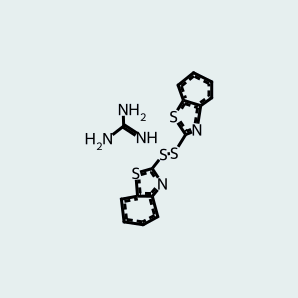 N=C(N)N.c1ccc2sc(SSc3nc4ccccc4s3)nc2c1